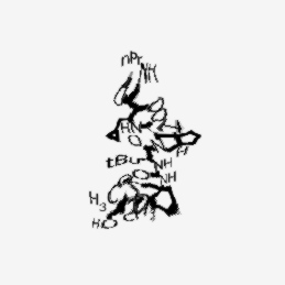 CCCNC(=O)C(=O)[C@H](CC1CC1)NC(=O)[C@@H]1[C@H]2CCC[C@H]2CN1C(=O)[C@@H](NC(=O)NC1(CS(=O)(=O)C(C)(C)CO)CCCCC1)C(C)(C)C